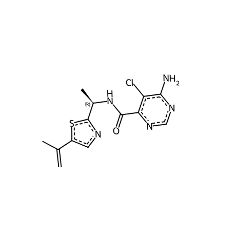 C=C(C)c1cnc([C@@H](C)NC(=O)c2ncnc(N)c2Cl)s1